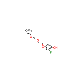 COCCOCCOCCOc1ccc(O)c(F)c1